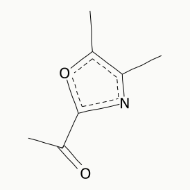 CC(=O)c1nc(C)c(C)o1